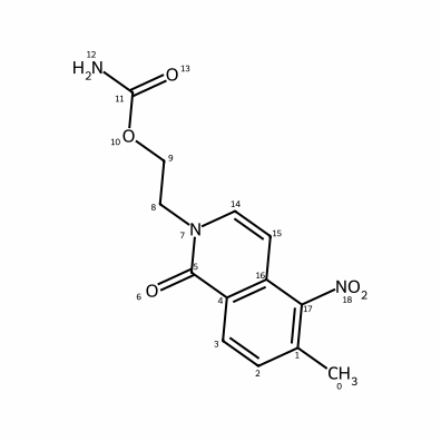 Cc1ccc2c(=O)n(CCOC(N)=O)ccc2c1[N+](=O)[O-]